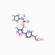 Cc1noc(-c2ccc(CCO)cn2)c1COC(=O)N(C)C1CCCC1